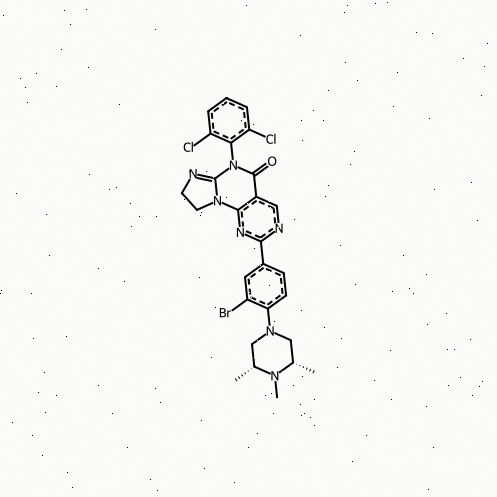 C[C@@H]1CN(c2ccc(-c3ncc4c(n3)N3CCN=C3N(c3c(Cl)cccc3Cl)C4=O)cc2Br)C[C@H](C)N1C